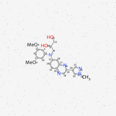 COc1cc(OC)cc(N(CC(O)CO)c2ccc3ncc(-c4cnn(C)c4)nc3c2)c1